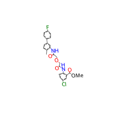 COC(=O)c1cc(Cl)ccc1NC(=O)COCC(=O)Nc1cc(-c2ccc(F)cc2)ccc1C